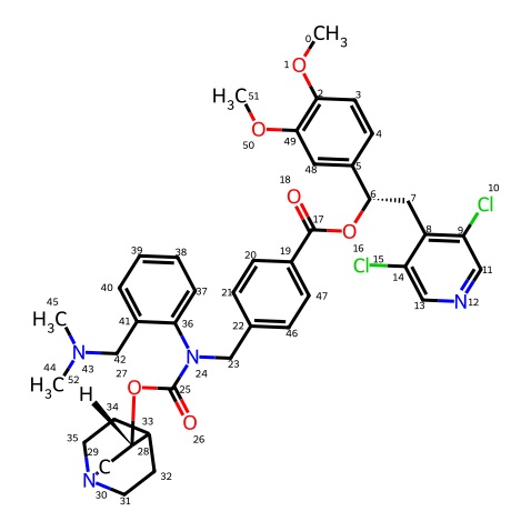 COc1ccc([C@H](Cc2c(Cl)cncc2Cl)OC(=O)c2ccc(CN(C(=O)O[C@H]3CN4CCC3CC4)c3ccccc3CN(C)C)cc2)cc1OC